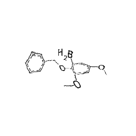 Bc1cc(OC)cc(OC)c1OCc1ccccc1